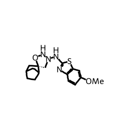 COc1ccc2nc(NN3C[C@]4(CC5CCC4CC5)ON3)sc2c1